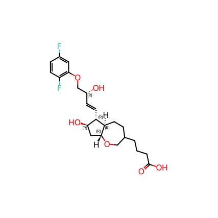 O=C(O)CCCC1CC[C@@H]2[C@@H](C=C[C@@H](O)COc3cc(F)ccc3F)[C@H](O)C[C@H]2OC1